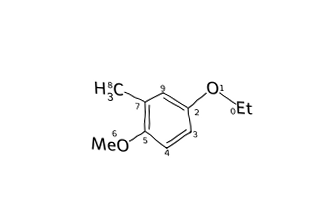 CCOc1ccc(OC)c(C)c1